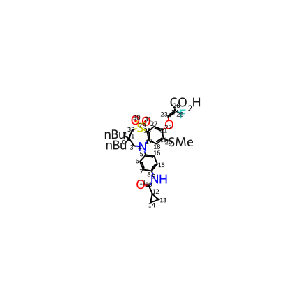 CCCCC1(CCCC)CN(c2ccc(NC(=O)C3CC3)cc2)c2cc(SC)c(O/C=C(\F)C(=O)O)cc2S(=O)(=O)C1